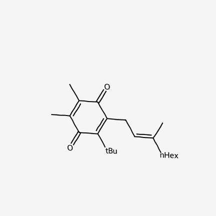 CCCCCCC(C)=CCC1=C(C(C)(C)C)C(=O)C(C)=C(C)C1=O